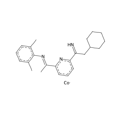 C/C(=N\c1c(C)cccc1C)c1cccc(C(=N)CC2CCCCC2)n1.[Co]